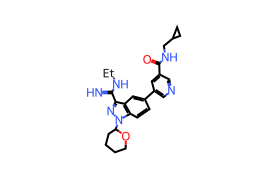 CCNC(=N)c1nn(C2CCCCO2)c2ccc(-c3cncc(C(=O)NCC4CC4)c3)cc12